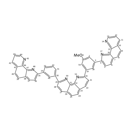 COc1cc(-c2ccc3ccc4cccnc4c3n2)cc(-c2ccc3ccc4ccc(-c5cccc(-c6ccc7ccc8cccnc8c7n6)c5)nc4c3n2)c1